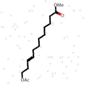 COC(=O)CCCCCCCC=CCCOC(C)=O